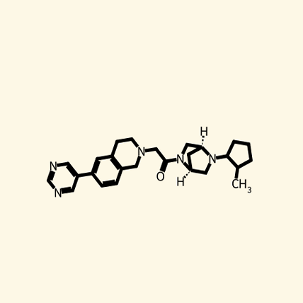 CC1CCCC1N1C[C@@H]2C[C@H]1CN2C(=O)CN1CCc2cc(-c3cncnc3)ccc2C1